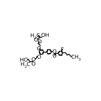 C=C(CO)C(=O)OCCOc1cc(OCCOC(=O)C(=C)CO)cc(-c2ccc(OC(=O)c3ccc(CCCCC)c(F)c3)cc2)c1